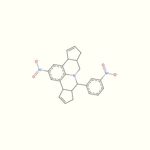 O=[N+]([O-])c1cccc(C2C3CC=CC3c3cc([N+](=O)[O-])cc4c3N2CC2CC=CC42)c1